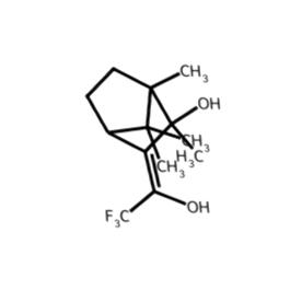 CC1(O)/C(=C(\O)C(F)(F)F)C2CCC1(C)C2(C)C